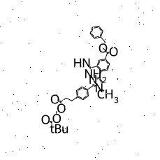 Cn1cc(-c2ccc(C(=O)OCc3ccccc3)cc2C(=N)N)nc1-c1ccc(CCC(=O)OCOC(=O)C(C)(C)C)cc1